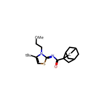 COCCn1c(C(C)(C)C)csc1=NC(=O)C12CC3CC(CC1C3)C2